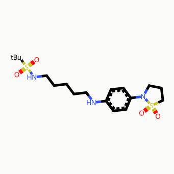 CC(C)(C)S(=O)(=O)NCCCCCNc1ccc(N2CCCS2(=O)=O)cc1